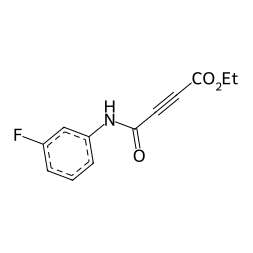 CCOC(=O)C#CC(=O)Nc1cccc(F)c1